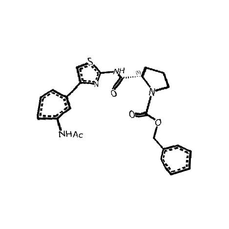 CC(=O)Nc1cccc(-c2csc(NC(=O)[C@@H]3CCCN3C(=O)OCc3ccccc3)n2)c1